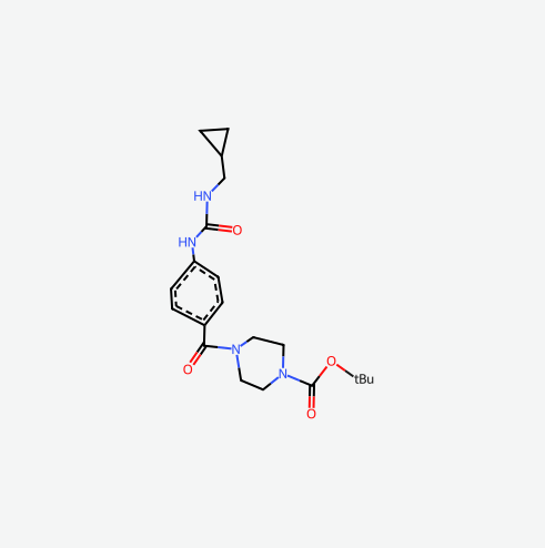 CC(C)(C)OC(=O)N1CCN(C(=O)c2ccc(NC(=O)NCC3CC3)cc2)CC1